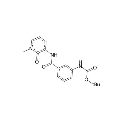 Cn1cccc(NC(=O)c2cccc(NC(=O)OC(C)(C)C)c2)c1=O